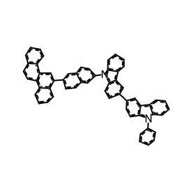 c1ccc(-n2c3ccccc3c3cc(-c4ccc5c(c4)c4ccccc4n5-c4ccc5cc(-c6cc7c8ccccc8ccc7c7ccccc67)ccc5c4)ccc32)cc1